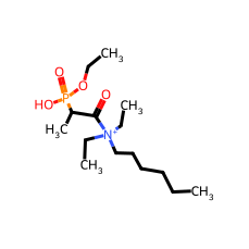 CCCCCC[N+](CC)(CC)C(=O)C(C)P(=O)(O)OCC